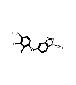 Cn1nnc2cc(Oc3ccc(N)c(F)c3Cl)ccc21